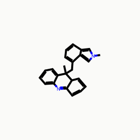 Cn1cc2cccc(CC3(C)c4ccccc4N=C4C=CC=CC43)c2c1